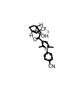 Cc1cc(C(=O)CN2[C@H]3CC[C@@H]2[C@@](O)(C(F)(F)F)C3)c(C)n1-c1ccc(C#N)cc1